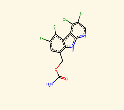 NC(=O)OCc1cc(F)c(Cl)c2c1[nH]c1ncc(Br)c(Cl)c12